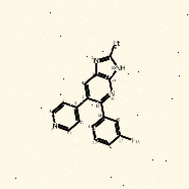 CCc1nc2cc(-c3ccncc3)c(-c3cccc(F)c3)nc2[nH]1